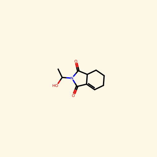 CC(O)N1C(=O)C2=CCCCC2C1=O